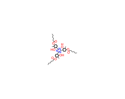 CCCCCC(=O)Oc1ccc(-c2nc(-c3ccc(OC(=O)CCCCC)c(C)c3O)nc(-c3ccc(OC(=O)CCCCC)c(C)c3O)n2)c(O)c1C